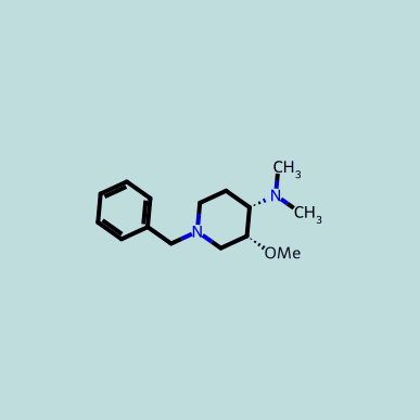 CO[C@@H]1CN(Cc2ccccc2)CC[C@@H]1N(C)C